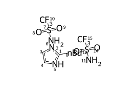 CCCCc1ncc[nH]1.NS(=O)(=O)C(F)(F)F.NS(=O)(=O)C(F)(F)F